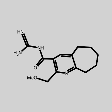 COCc1nc2c(cc1C(=O)NC(=N)N)CCCCC2